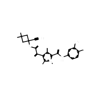 C#CC1(NC(=O)C(=O)c2c(F)c(C(=O)Nc3ccc(F)c(C#N)c3)n(C)c2C)CC(F)(F)C1